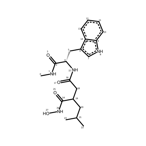 CNC(=O)[C@H](Cc1c[nH]c2ccccc12)NC(=O)CC(CC(C)C)C(=O)NO